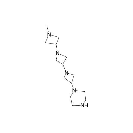 CN1CC(N2CC(N3CC(N4CCNCC4)C3)C2)C1